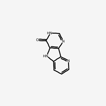 O=c1[nH]cnc2c1[nH]c1cccnc12